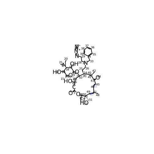 CC[C@H]1OC(=O)C[C@@H](O)[C@H](C)[C@@H](O[C@@H]2O[C@H](C)[C@@H](O)C(N(C)C)C2O)[C@@H](CCN(CCN=[N+]=[N-])Cc2ccccc2)C[C@@H](C)C(=O)/C=C/C(C)=C/[C@@H]1CO